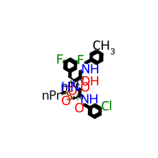 CCCC(CCC)S(=O)(=O)C[C@H](NC(=O)c1cccc(Cl)c1)C(=O)N[C@@H](Cc1cc(F)cc(F)c1)[C@H](O)CNCc1cccc(C)c1